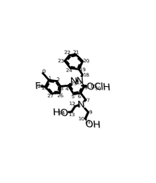 Cc1cc(-c2cc(CN(CCO)CCO)c(=O)n(Cc3ccccc3)n2)ccc1F.Cl